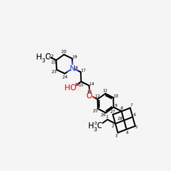 CCC12CC3CC4CC(c5ccc(OCC(O)CN6CCC(C)CC6)cc5)(C1)C342